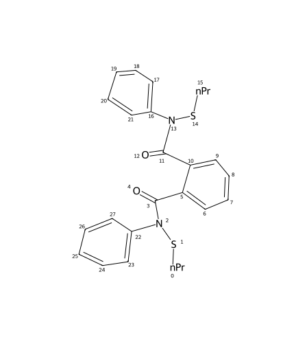 CCCSN(C(=O)c1ccccc1C(=O)N(SCCC)c1ccccc1)c1ccccc1